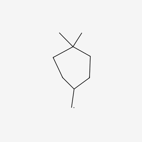 [CH2]C1CCC(C)(C)CC1